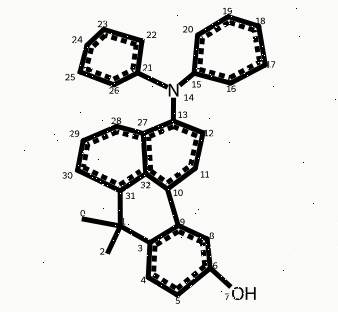 CC1(C)c2ccc(O)cc2-c2ccc(N(c3ccccc3)c3ccccc3)c3cccc1c23